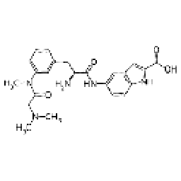 CN(C)CC(=O)N(C)c1cccc(C[C@H](N)C(=O)Nc2ccc3[nH]c(C(=O)O)cc3c2)c1